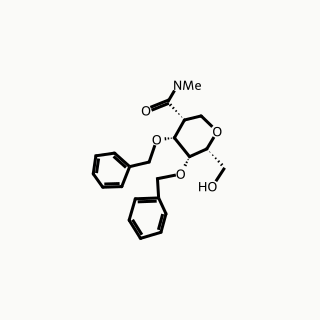 CNC(=O)[C@@H]1CO[C@H](CO)[C@H](OCc2ccccc2)[C@@H]1OCc1ccccc1